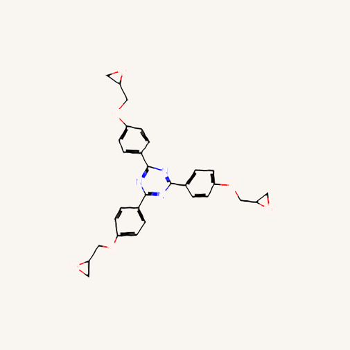 c1cc(-c2nc(-c3ccc(OCC4CO4)cc3)nc(-c3ccc(OCC4CO4)cc3)n2)ccc1OCC1CO1